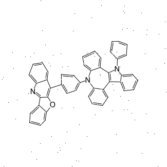 c1ccc(-n2c3c(c4ccccc42)-c2ccccc2N(c2ccc(-c4c5ccccc5nc5c4oc4ccccc45)cc2)c2ccccc2-3)cc1